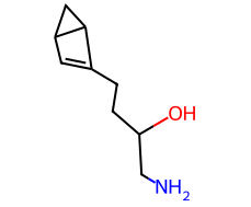 NCC(O)CCC1=CC2CC12